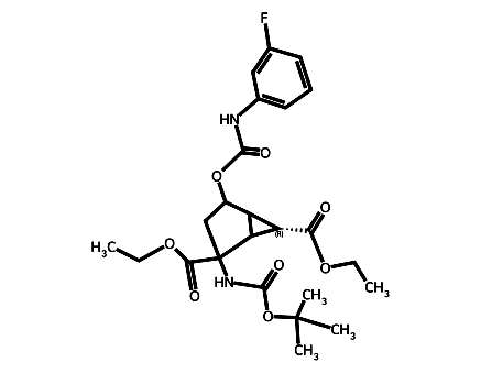 CCOC(=O)[C@H]1C2C(OC(=O)Nc3cccc(F)c3)CC(NC(=O)OC(C)(C)C)(C(=O)OCC)C21